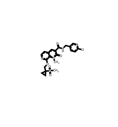 Cn1c(=O)c(C(=O)NCc2ccc(Cl)nc2)cc2ccnc(OCC3(S(C)(=O)=O)CC3)c21